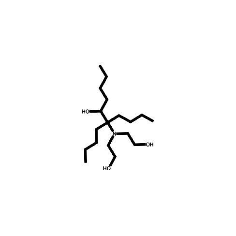 CCCCC(O)C(CCCC)(CCCC)N(CCO)CCO